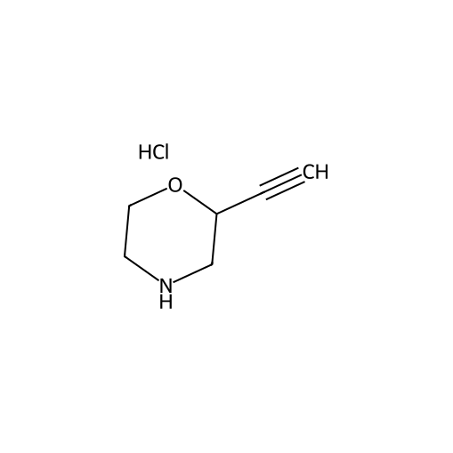 C#CC1CNCCO1.Cl